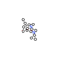 c1ccc(-c2ccc(N(c3ccc(-c4ccccc4)c(-c4ccccc4)c3)c3ccccc3-c3ccc4c(c3)-n3c5ccccc5c5ccc6c(c53)-c3c-4cccc3C6(c3ccc(-c4ccccc4)cc3)c3cccc(-c4ccccc4)c3)cc2)cc1